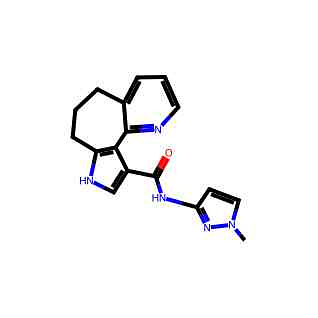 Cn1ccc(NC(=O)c2c[nH]c3c2-c2ncccc2CCC3)n1